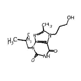 Cc1nc2c(c(=O)[nH]c(=O)n2CC(C)C)n1CCCO